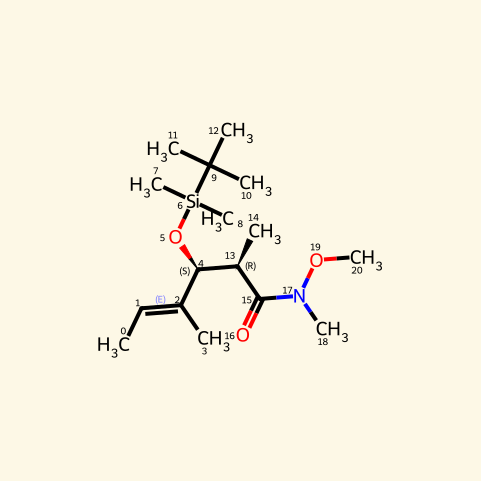 C/C=C(\C)[C@@H](O[Si](C)(C)C(C)(C)C)[C@@H](C)C(=O)N(C)OC